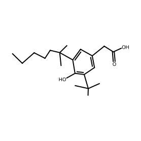 CCCCCC(C)(C)c1cc(CC(=O)O)cc(C(C)(C)C)c1O